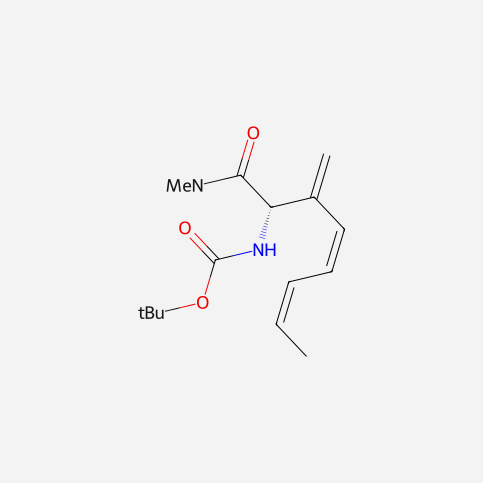 C=C(/C=C\C=C/C)[C@H](NC(=O)OC(C)(C)C)C(=O)NC